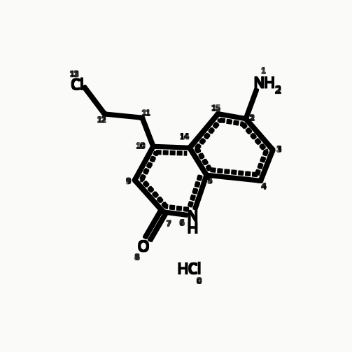 Cl.Nc1ccc2[nH]c(=O)cc(CCCl)c2c1